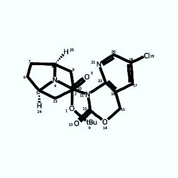 CC(C)(C)OC(=O)N1[C@@H]2CC[C@H]1CC(N1C(=O)OCc3cc(Cl)cnc31)C2